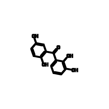 O=C(c1cc(O)ccc1O)c1cccc(O)c1O